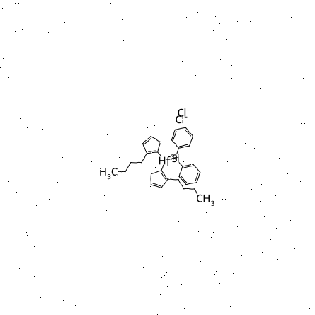 CCCCC1=[C]([Hf+2]([C]2=C(CCCC)C=CC2)=[Si](c2ccccc2)c2ccccc2)CC=C1.[Cl-].[Cl-]